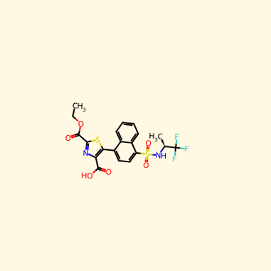 CCOC(=O)c1nc(C(=O)O)c(-c2ccc(S(=O)(=O)N[C@@H](C)C(F)(F)F)c3ccccc23)s1